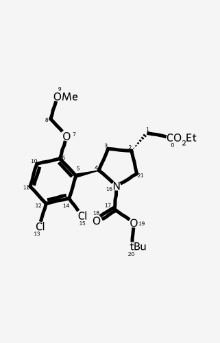 CCOC(=O)C[C@H]1C[C@H](c2c(OCOC)ccc(Cl)c2Cl)N(C(=O)OC(C)(C)C)C1